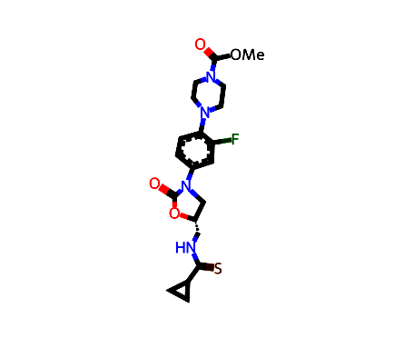 COC(=O)N1CCN(c2ccc(N3C[C@H](CNC(=S)C4CC4)OC3=O)cc2F)CC1